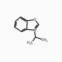 CC(C)[n+]1coc2ccccc21